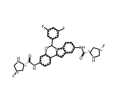 O=C(Nc1ccc2c(c1)cc1n2C(c2cc(F)cc(F)c2)Oc2cc(NC(=O)[C@@H]3C[C@@H](F)CN3)ccc2-1)[C@@H]1C[C@H](F)CN1